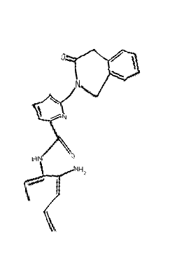 C=C/C=C(N)\C(=C/C)NC(=O)c1cccc(N2Cc3ccccc3CC2=O)n1